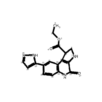 CCOC(=O)C1CNc2c1c1cc(-c3ccn[nH]3)ccc1[nH]c2=O